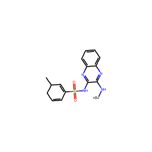 CCCCNc1nc2ccccc2nc1NS(=O)(=O)C1=CC(C)CC=C1